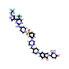 O=C1CCC(N2Cc3cc(N4CCC(CN5CCN(c6cccc(S(=O)(=O)N7CCC(Nc8ncc(C(F)(F)F)c(-c9cnn(CC(F)(F)F)c9)n8)CC7)c6)CC5)CC4)ccc3C2=O)C(=O)N1